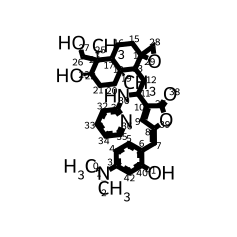 CN(C)c1ccc(/C=C2\C=C(C(CC3C4(CCC5[C@]3(C)CC[C@@H](O)[C@@]5(C)CO)CO4)Nc3ccccn3)C(=O)O2)c(O)c1